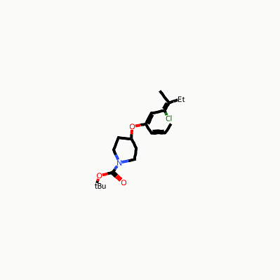 C\C=C/C(=C\C(Cl)=C(/C)CC)OC1CCN(C(=O)OC(C)(C)C)CC1